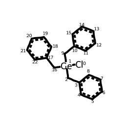 [Cl][Ge]([CH2]c1ccccc1)([CH2]c1ccccc1)[CH2]c1ccccc1